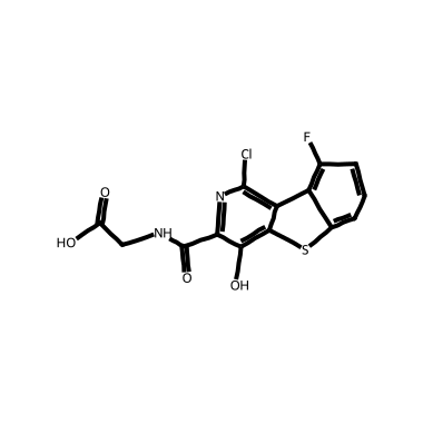 O=C(O)CNC(=O)c1nc(Cl)c2c(sc3cccc(F)c32)c1O